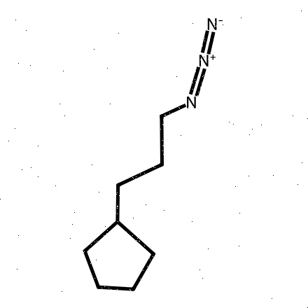 [N-]=[N+]=NCCCC1CCCC1